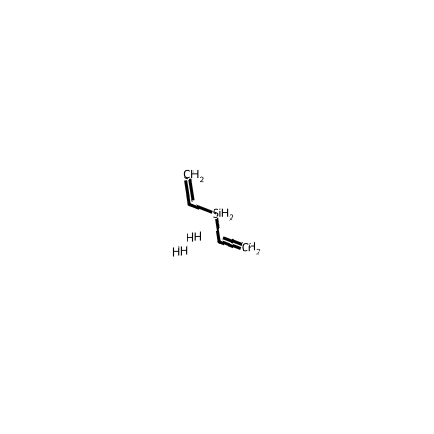 C=C[SiH2]C=C.[HH].[HH]